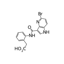 O=C(O)Cc1ccccc1NC(=O)c1c[nH]c2ccc(Br)nc12